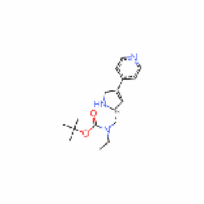 CCN(C[C@H]1C=C(c2ccncc2)CN1)C(=O)OC(C)(C)C